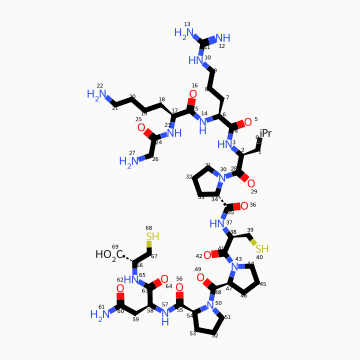 CC(C)C[C@H](NC(=O)[C@H](CCCNC(=N)N)NC(=O)[C@H](CCCCN)NC(=O)CN)C(=O)N1CCC[C@H]1C(=O)N[C@@H](CS)C(=O)N1CCC[C@H]1C(=O)N1CCC[C@H]1C(=O)N[C@@H](CC(N)=O)C(=O)N[C@@H](CS)C(=O)O